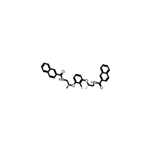 C[C@@H](CNC(=O)c1ccc2ccccc2c1)Oc1cccc(O[C@@H](C)CNC(=O)c2ccc3ccccc3c2)c1I